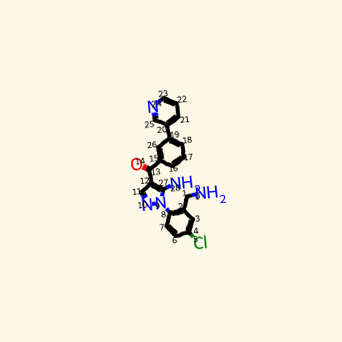 NCc1cc(Cl)ccc1-n1ncc(C(=O)c2cccc(-c3cccnc3)c2)c1N